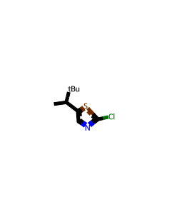 CC(c1cnc(Cl)s1)C(C)(C)C